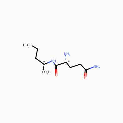 NC(=O)CC[C@@H](N)C(=O)N[C@H](CCC(=O)O)C(=O)O